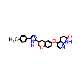 Cc1ccc(-c2cnc(C3COc4ccc(Oc5ccnc6c5CCC(=O)N6)cc4C3)[nH]2)cc1